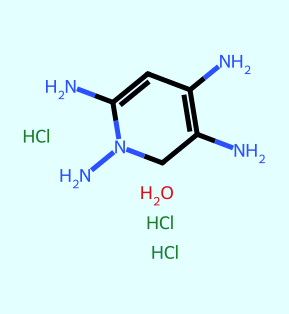 Cl.Cl.Cl.NC1=CC(N)=C(N)CN1N.O